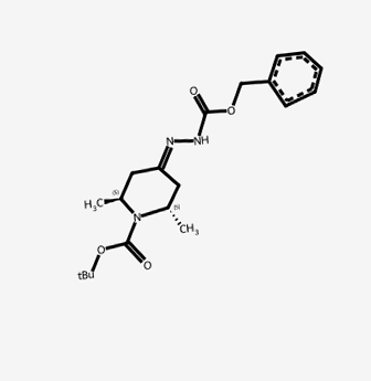 C[C@H]1CC(=NNC(=O)OCc2ccccc2)C[C@H](C)N1C(=O)OC(C)(C)C